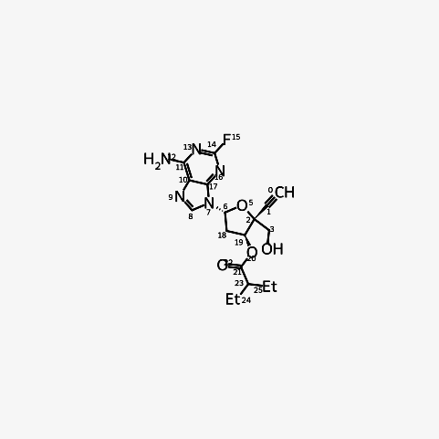 C#C[C@]1(CO)O[C@@H](n2cnc3c(N)nc(F)nc32)C[C@@H]1OC(=O)C(CC)CC